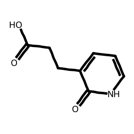 O=C(O)CCc1ccc[nH]c1=O